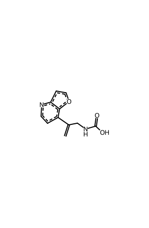 C=C(CNC(=O)O)c1ccnc2ccoc12